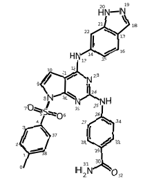 Cc1ccc(S(=O)(=O)n2ccc3c(Nc4ccc5cn[nH]c5c4)nc(Nc4ccc(C(N)=O)cc4)nc32)cc1